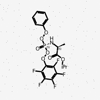 CC(C)OC(=O)[C@H](C)N[P@](=O)(OOc1ccccc1)OOc1c(F)c(F)c(F)c(F)c1F